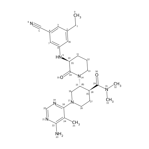 CCc1cc(C#N)cc(N[C@H]2CCCN([C@H]3CN(c4ncnc(N)c4C)CC[C@@H]3C(=O)N(C)C)C2=O)c1